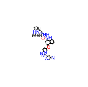 CN/C(=C\C(=N)C(C)(C)C)NC(=O)N[C@H]1CC[C@@H](Oc2ccc3nnc([C@@H]4C[C@H](N(C)C)CN4C)n3c2)c2ccccc21